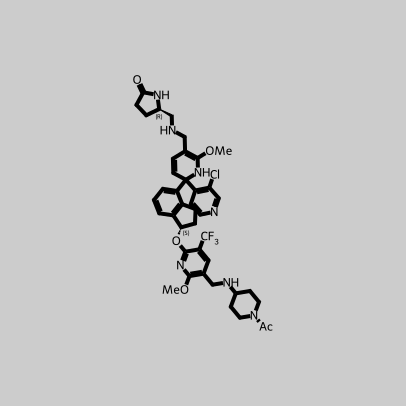 COC1=C(CNC[C@H]2CCC(=O)N2)C=CC(c2ccncc2Cl)(c2cccc3c2CC[C@@H]3Oc2nc(OC)c(CNC3CCN(C(C)=O)CC3)cc2C(F)(F)F)N1